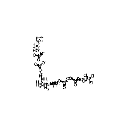 N.N.N.N.N.N.O=[N+]([O-])[O-].O=[N+]([O-])[O-].O=[N+]([O-])[O-].O=[N+]([O-])[O-].[Cl][Pt]([Cl])([Cl])[Cl].[N].[N].[N].[N].[OH-].[OH-].[OH-].[OH-].[Pt+4].[Pt+4]